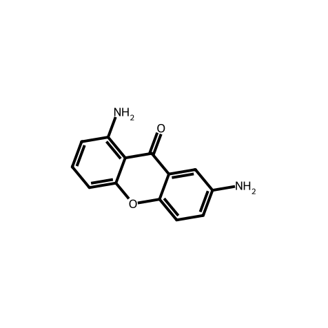 Nc1ccc2oc3cccc(N)c3c(=O)c2c1